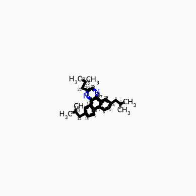 CC(C)Cc1ccc2c3ccc(CC(C)C)cc3c3nc(CC(C)C)cnc3c2c1